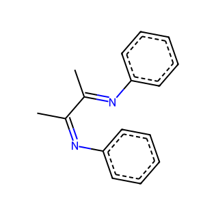 CC(=Nc1ccccc1)C(C)=Nc1ccccc1